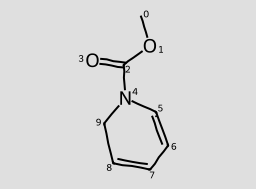 COC(=O)N1[C]=CC=CC1